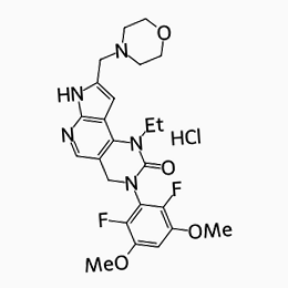 CCN1C(=O)N(c2c(F)c(OC)cc(OC)c2F)Cc2cnc3[nH]c(CN4CCOCC4)cc3c21.Cl